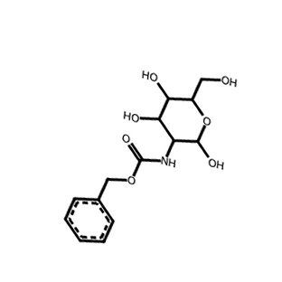 O=C(NC1C(O)OC(CO)C(O)C1O)OCc1ccccc1